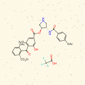 CCOC(=O)c1cccc(OC(C)=O)c1C(=O)c1c(O)cc(C(=O)O[C@H]2CNC[C@@H]2NC(=O)c2ccc(OC(C)=O)cc2)cc1OC(C)=O.O=C(O)C(F)(F)F